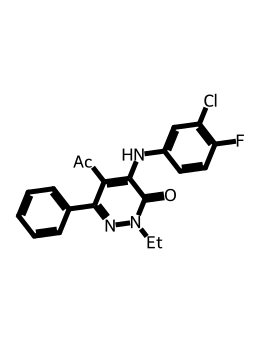 CCn1nc(-c2ccccc2)c(C(C)=O)c(Nc2ccc(F)c(Cl)c2)c1=O